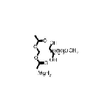 CC(=O)OCOC(C)=O.O.O.O.O.OCCO.[MgH2]